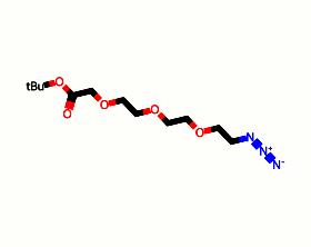 CC(C)(C)OC(=O)COCCOCCOCCN=[N+]=[N-]